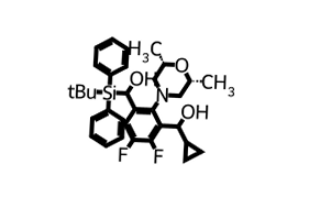 C[C@@H]1CN(c2c(C(O)[Si](c3ccccc3)(c3ccccc3)C(C)(C)C)cc(F)c(F)c2C(O)C2CC2)C[C@H](C)O1